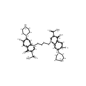 O=C(O)c1cn(CCCCn2cc(C(=O)O)c(=O)c3cc(F)c(N4CCNCC4)cc32)c2cc(N3CCNCC3)c(F)cc2c1=O